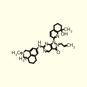 C=CCn1c(=O)c2cnc(Nc3cc4c5c(c3)CN(C)CC5(C)CCC4)nc2n1-c1ccc2c(n1)C(C)(O)CCC2